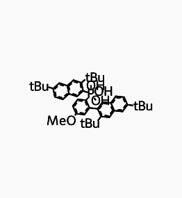 COc1ccc(P(O)(O)(O)c2cc3ccc(C(C)(C)C)cc3cc2C(C)(C)C)c(-c2cc3ccc(C(C)(C)C)cc3cc2C(C)(C)C)c1